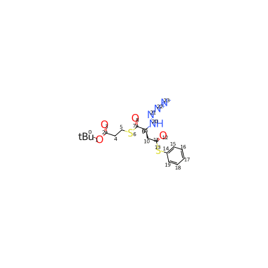 CC(C)(C)OC(=O)CCSC(=O)[C@H](CC(=O)Sc1ccccc1)NN=[N+]=[N-]